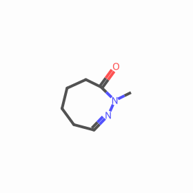 CN1/N=C\CCCCC1=O